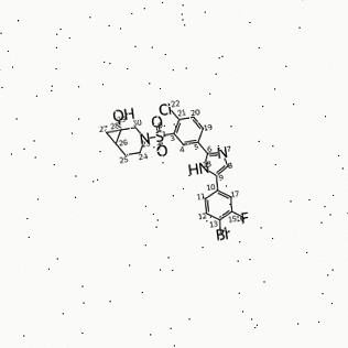 O=S(=O)(c1cc(-c2ncc(-c3ccc(Br)c(F)c3)[nH]2)ccc1Cl)N1CCC2CC2(O)C1